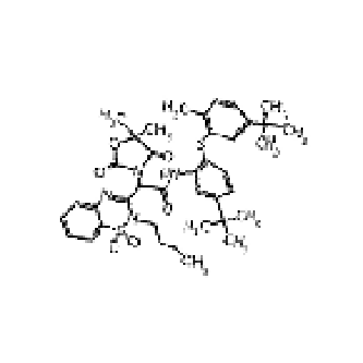 CCCCN1C(C(C(=O)Nc2cc(C(C)(C)C)ccc2Sc2cc(C(C)(C)C)ccc2C)N2C(=O)OC(C)(C)C2=O)=Nc2ccccc2S1(=O)=O